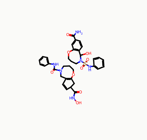 NC(=O)c1ccc2c(c1)OCCCN(S(=O)(=O)Nc1ccccc1)C2O.O=C(NO)C1C=CC2=C(C1)OCCCN(C(=O)Nc1ccccc1)C2